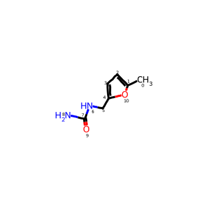 Cc1ccc(CNC(N)=O)o1